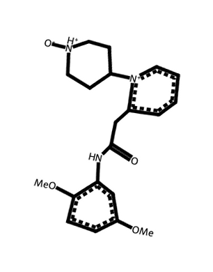 COc1ccc(OC)c(NC(=O)Cc2cccc[n+]2C2CC[NH+]([O-])CC2)c1